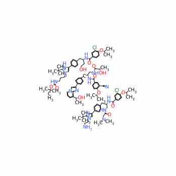 CC(C)Oc1ccc(C(=O)NC(CCO)Cc2ccc(C3=CN(CCCNC(=O)OC(C)(C)C)C(C(C)(C)C)N3)cc2)cc1Cl.CC(C)Oc1ccc(C(=O)NC(CNC(=O)C(C)O)Cc2ccc(-c3cn4cccc(C(C)O)c4n3)cc2)cc1C#N.CC(C)Oc1ccc(C(=O)NC(CNC(=O)CN(C)C)Cc2ccc(-c3cn(CCN)c(C(C)(C)C)n3)cc2)cc1Cl